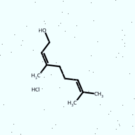 CC(C)=CCC/C(C)=C\CO.Cl